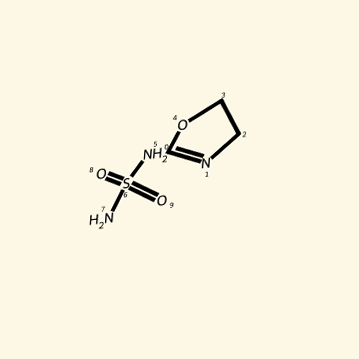 C1=NCCO1.NS(N)(=O)=O